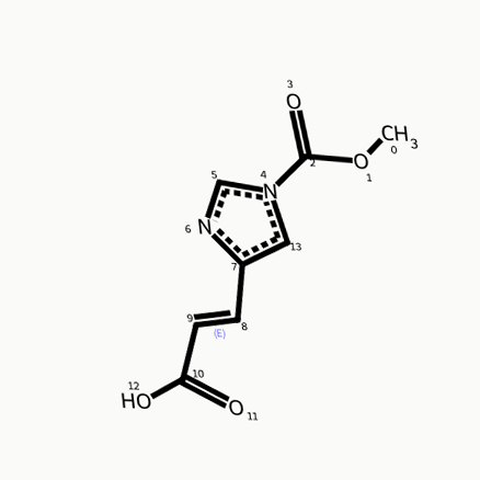 COC(=O)n1cnc(/C=C/C(=O)O)c1